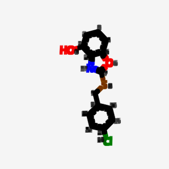 Oc1cccc2oc(SCc3ccc(Cl)cc3)nc12